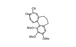 COc1cc2c(c(OC)c1OC)-c1ccc(=O)c(C#N)cc1CCC2